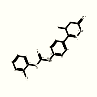 CC1CC(=O)NN=C1c1ccc(NC(=O)Oc2ccccc2Cl)cc1